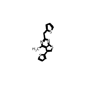 Cc1nc(Cc2cccs2)nc2scc(-c3cccs3)c12